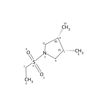 CCS(=O)(=O)N1C[C@@H](C)[C@@H](C)C1